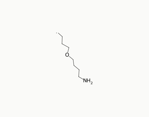 [CH2]CCCOCCCCN